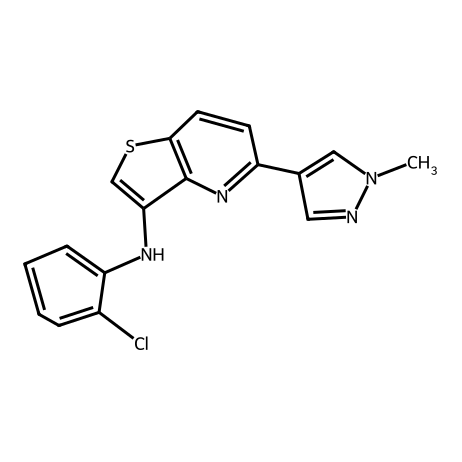 Cn1cc(-c2ccc3scc(Nc4ccccc4Cl)c3n2)cn1